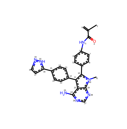 C=C(C)C(=O)Nc1ccc(-c2c(-c3ccc(-c4ccn[nH]4)cc3)c3c(N)ncnc3n2C)cc1